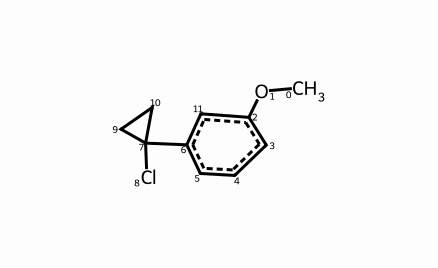 COc1cccc(C2(Cl)CC2)c1